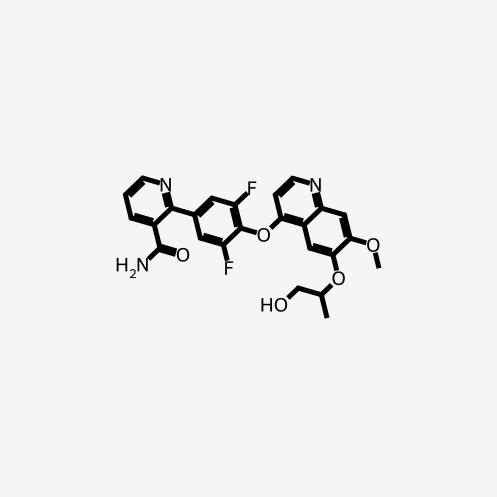 COc1cc2nccc(Oc3c(F)cc(-c4ncccc4C(N)=O)cc3F)c2cc1OC(C)CO